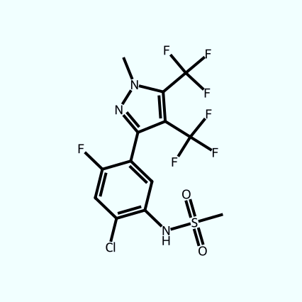 Cn1nc(-c2cc(NS(C)(=O)=O)c(Cl)cc2F)c(C(F)(F)F)c1C(F)(F)F